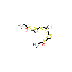 C=CC(=O)SCC1CSC(CSCC(C)SCC2SCC(CSC(=O)C=C)S2)S1